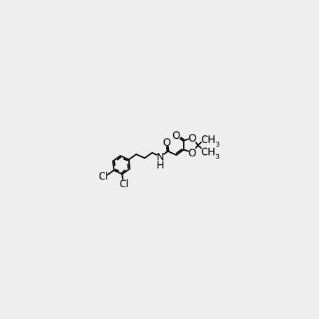 CC1(C)OC(=O)C(=CC(=O)NCCCc2ccc(Cl)c(Cl)c2)O1